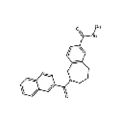 O=C(NO)c1ccc2c(c1)CCCN(C(=O)c1cnc3ccccc3c1)C2